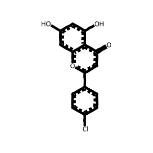 O=c1cc(-c2ccc(Cl)cc2)oc2cc(O)cc(O)c12